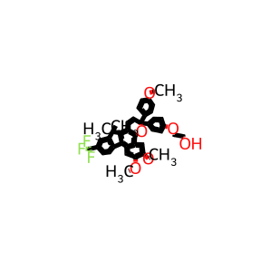 COc1ccc(C2(c3ccc(OCCO)cc3)C=Cc3c4c(c5cc(OC)c(OC)cc5c3O2)-c2ccc(C(F)(F)F)cc2C4(C)C)cc1